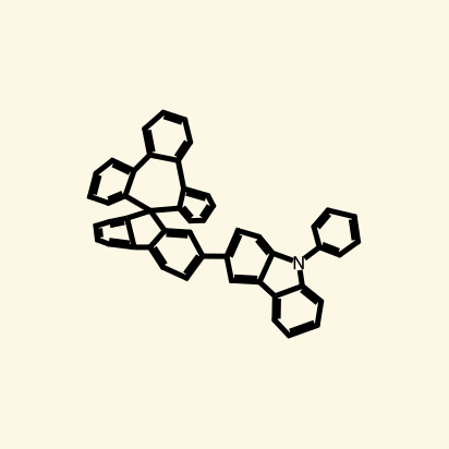 c1ccc(-n2c3ccccc3c3cc(-c4ccc5c(c4)C4(c6ccccc6-c6ccccc6-c6ccccc64)c4ccccc4-5)ccc32)cc1